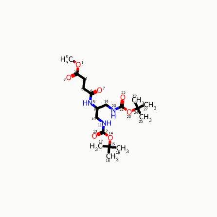 COC(=O)CCC(=O)NC(CNC(=O)OC(C)(C)C)CNC(=O)OC(C)(C)C